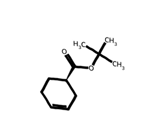 CC(C)(C)OC(=O)[C@H]1CC=CCC1